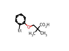 CCc1ccccc1OCC(C)(C)C(=O)O